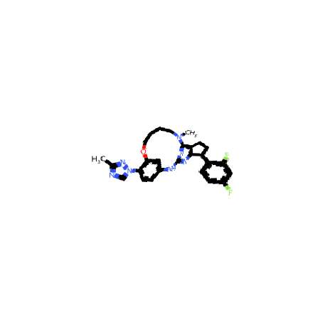 Cc1ncn(-c2ccc3cc2OCCCCN(C)c2nc(nc4c2CCC4c2ccc(F)cc2F)N3)n1